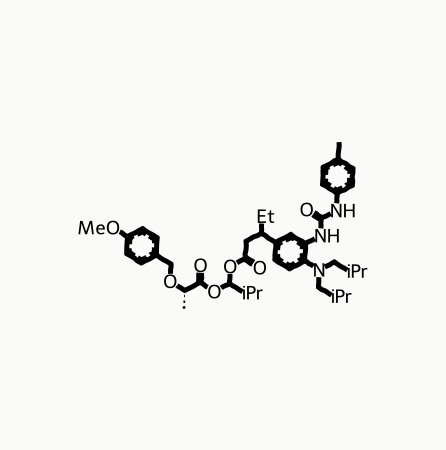 CCC(CC(=O)OC(OC(=O)[C@H](C)OCc1ccc(OC)cc1)C(C)C)c1ccc(N(CC(C)C)CC(C)C)c(NC(=O)Nc2ccc(C)cc2)c1